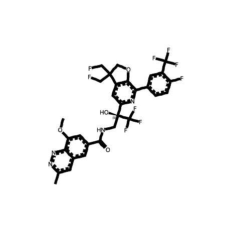 COc1cc(C(=O)NC[C@](O)(c2cc3c(c(-c4ccc(F)c(C(F)(F)F)c4)n2)OCC3(CF)CF)C(F)(F)F)cc2cc(C)nnc12